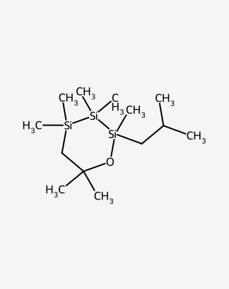 CC(C)C[Si]1(C)OC(C)(C)C[Si](C)(C)[Si]1(C)C